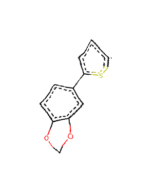 [c]1ccc(-c2ccc3c(c2)OCO3)s1